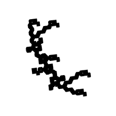 CCCCCCC(CCCC)CN1C(=O)/C(=C/c2cc(C)c(-c3sc(/C=C4\SC(=S)N(CC(CCCC)CCCCCC)C4=O)cc3C)s2)SC1=S